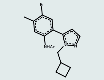 CC(=O)Nc1cc(C)c(Br)cc1-c1ccnn1CC1CCC1